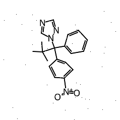 CC(C)(C)C(c1ccccc1)(c1ccc([N+](=O)[O-])cc1)n1cncn1